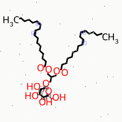 CCCCC/C=C\C/C=C\CCCCCCCC(=O)OCC(COC(=O)CCCCCCC/C=C\C/C=C\CCCCC)CO[C@@H]1O[C@H](CO)[C@@H](O)[C@H](O)[C@H]1O